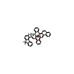 CC1(C)c2ccccc2-c2c(C3=CC(c4ccccc4)NC(c4ccccc4-c4c5ccccc5cc5c4ccc4ccccc45)N3)cccc21